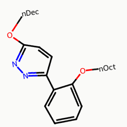 CCCCCCCCCCOc1ccc(-c2ccccc2OCCCCCCCC)nn1